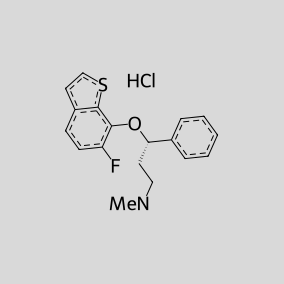 CNCC[C@H](Oc1c(F)ccc2ccsc12)c1ccccc1.Cl